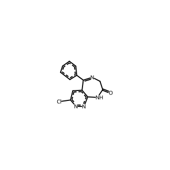 O=C1CN=C(c2ccccc2)c2cc(Cl)nnc2N1